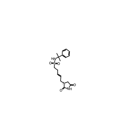 CC(C)(NS(=O)(=O)CC/C=C/CN1CC(=O)NC1=O)c1ccccc1